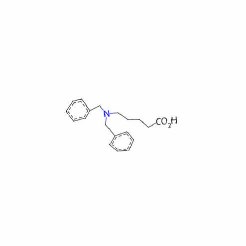 O=C(O)CCCCN(Cc1ccccc1)Cc1ccccc1